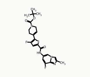 Cc1cn2cc(NC(=O)c3cc(F)c(C4=CCN(C(=O)OC(C)(C)C)CC4)s3)cc(F)c2n1